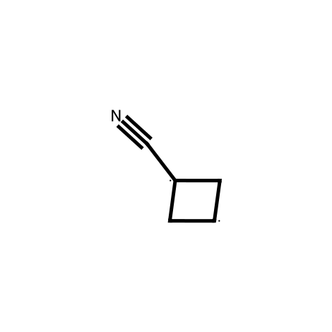 N#C[C]1C[CH]C1